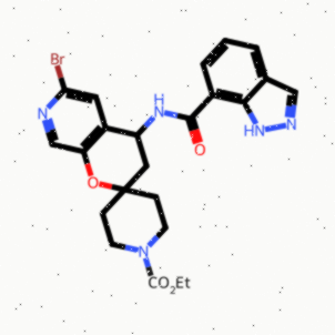 CCOC(=O)N1CCC2(CC1)CC(NC(=O)c1cccc3cn[nH]c13)c1cc(Br)ncc1O2